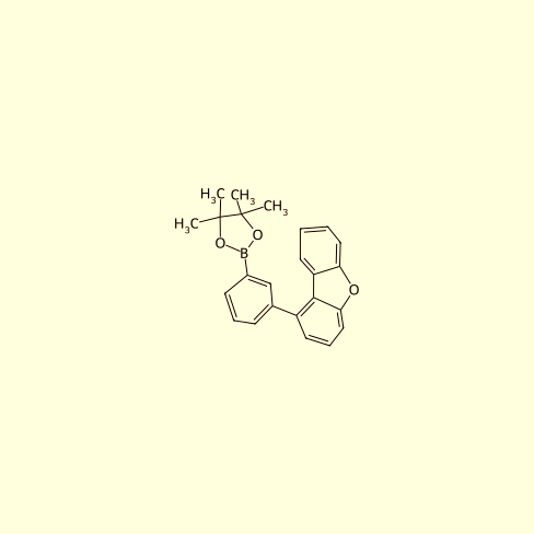 CC1(C)OB(c2cccc(-c3cccc4oc5ccccc5c34)c2)OC1(C)C